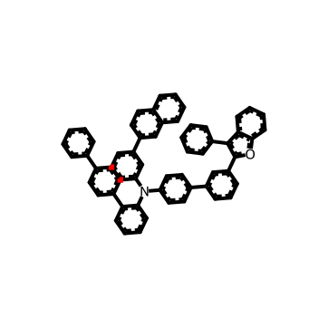 c1ccc(-c2ccc(-c3ccccc3N(c3ccc(-c4cccc(-c5oc6ccccc6c5-c5ccccc5)c4)cc3)c3cccc(-c4ccc5ccccc5c4)c3)cc2)cc1